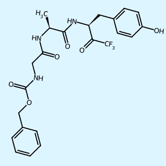 C[C@H](NC(=O)CNC(=O)OCc1ccccc1)C(=O)N[C@@H](Cc1ccc(O)cc1)C(=O)C(F)(F)F